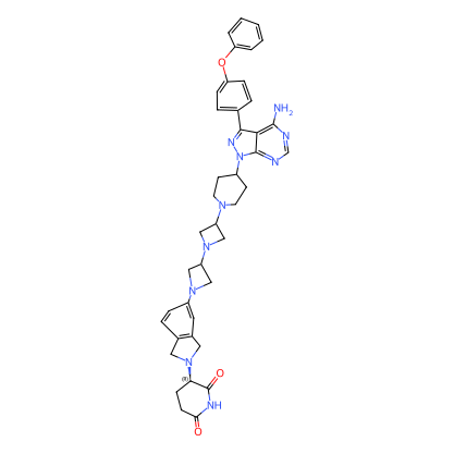 Nc1ncnc2c1c(-c1ccc(Oc3ccccc3)cc1)nn2C1CCN(C2CN(C3CN(c4ccc5c(c4)CN([C@@H]4CCC(=O)NC4=O)C5)C3)C2)CC1